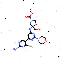 COC(=O)N1CC[C@](CO)(Nc2cc(-c3cnc(N)nc3C)nc(N3CCOCC3)n2)C1